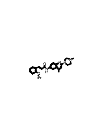 Cc1cc(N2CCN(C)CC2)nc2ccc(NC(=O)C=Cc3ccccc3OC(C)C)cc12